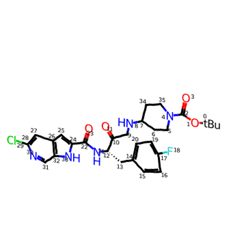 CC(C)(C)OC(=O)N1CCC(NCC(=O)[C@H](Cc2ccc(F)cc2)NC(=O)c2cc3cc(Cl)ncc3[nH]2)CC1